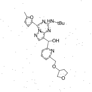 Cc1ccc(-c2nc(NC(C)(C)C)nc3c(C(O)c4cccc(COC5CCOC5)n4)cnn23)o1